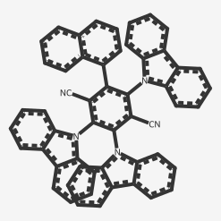 N#Cc1c(-c2cccc3ccccc23)c(-n2c3ccccc3c3ccccc32)c(C#N)c(-n2c3ccccc3c3ccccc32)c1-n1c2ccccc2c2ccccc21